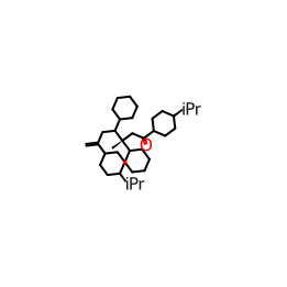 C=C(CC(C1CCCCC1)[C@](C)(CC(=O)C1CCC(C(C)C)CC1)C1CCCCC1)C1CCC(C(C)C)CC1